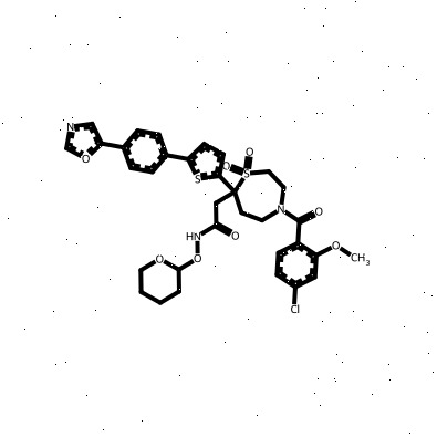 COc1cc(Cl)ccc1C(=O)N1CCC(CC(=O)NOC2CCCCO2)(c2ccc(-c3ccc(-c4cnco4)cc3)s2)S(=O)(=O)CC1